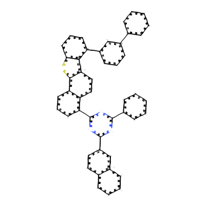 c1ccc(-c2cccc(-c3cccc4sc5c6cccc(-c7nc(-c8ccccc8)nc(-c8ccc9ccccc9c8)n7)c6ccc5c34)c2)cc1